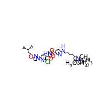 CC(C)(C)N1CC(CCCCNc2ccc(S(=O)(=O)NC(=O)c3ccc(-n4ccc(OCCC(C5CC5)C5CC5)n4)nc3Cl)cn2)CC1(C)C